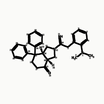 CN(C)c1ccccc1CC(=N)N1C[C@@H]2C(=O)CCC(c3ccccc3)(c3ccccc3)[C@@H]2C1